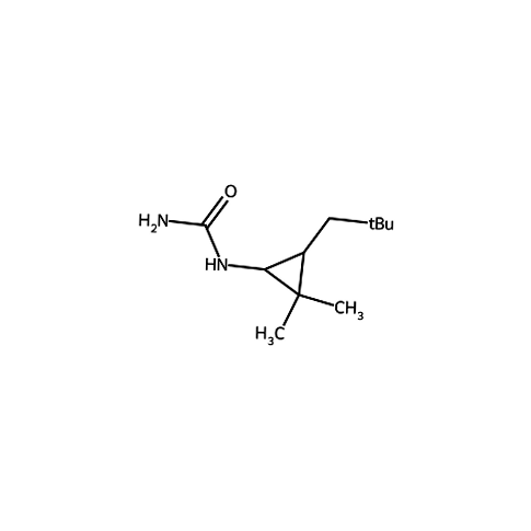 CC(C)(C)CC1C(NC(N)=O)C1(C)C